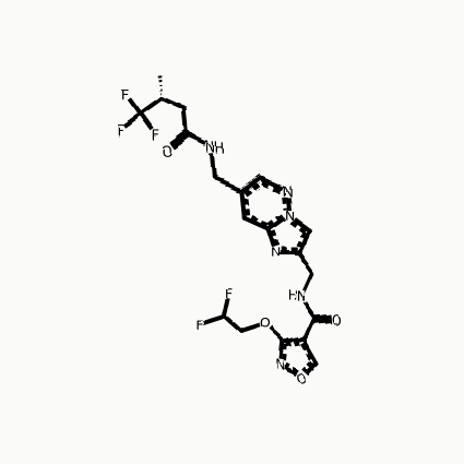 C[C@H](CC(=O)NCc1cnn2cc(CNC(=O)c3conc3OCC(F)F)nc2c1)C(F)(F)F